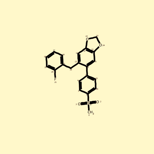 CS(=O)(=O)c1ccc(-c2cc3c(cc2Cc2ccccc2F)OCO3)cc1